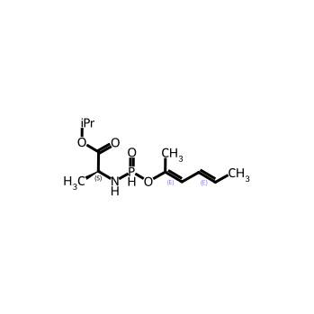 C/C=C/C=C(\C)O[PH](=O)N[C@@H](C)C(=O)OC(C)C